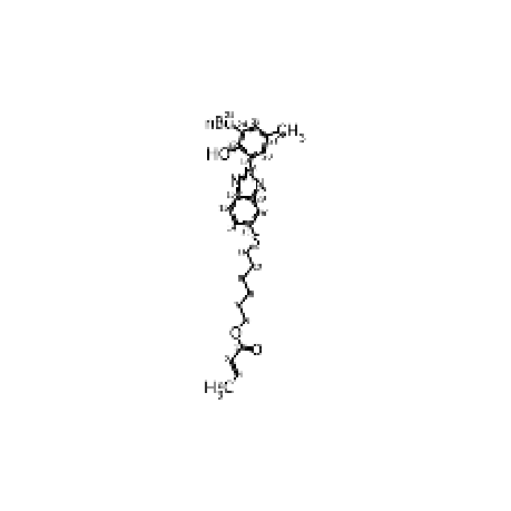 C/C=C/C(=O)OCCCCCCSc1ccc2nn(-c3cc(C)cc(CCCC)c3O)nc2c1